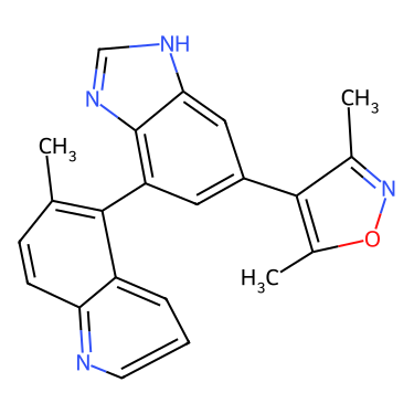 Cc1ccc2ncccc2c1-c1cc(-c2c(C)noc2C)cc2[nH]cnc12